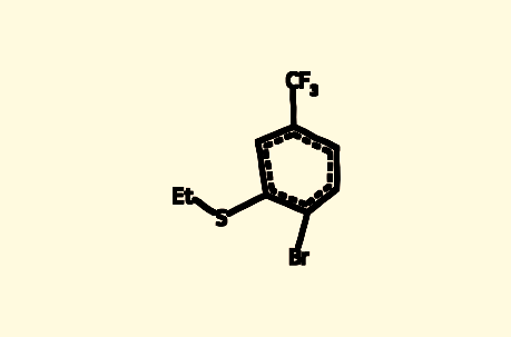 CCSc1cc(C(F)(F)F)ccc1Br